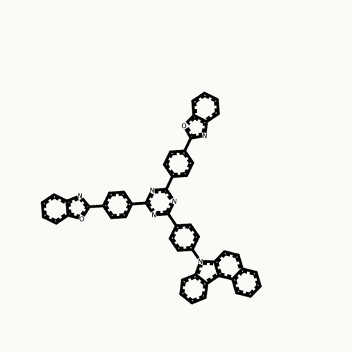 c1ccc2c(c1)ccc1c2c2ccccc2n1-c1ccc(-c2nc(-c3ccc(-c4nc5ccccc5o4)cc3)nc(-c3ccc(-c4nc5ccccc5o4)cc3)n2)cc1